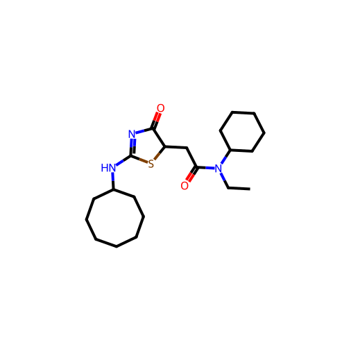 CCN(C(=O)CC1SC(NC2CCCCCCC2)=NC1=O)C1CCCCC1